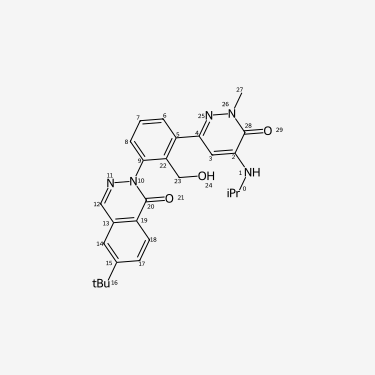 CC(C)Nc1cc(-c2cccc(-n3ncc4cc(C(C)(C)C)ccc4c3=O)c2CO)nn(C)c1=O